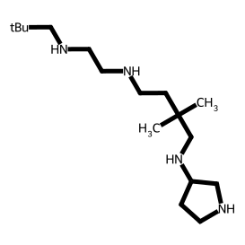 CC(C)(C)CNCCNCCC(C)(C)CNC1CCNC1